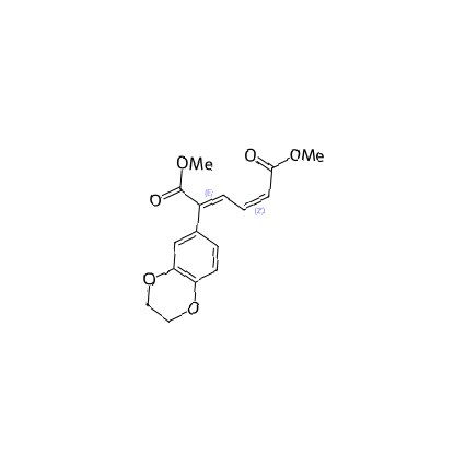 COC(=O)/C=C\C=C(\C(=O)OC)c1ccc2c(c1)OCCO2